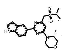 CC(C)S(=O)(=O)Cc1cc(N2CCOC[C@H]2C)nc(-c2ccc3[nH]ccc3c2)n1